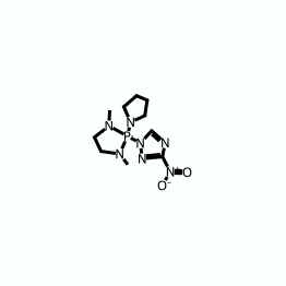 CN1CCN(C)[P]1(N1CCCC1)n1cnc([N+](=O)[O-])n1